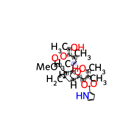 C=C1C[C@@H]2C[C@]3(O[C@H]2[C@H](OC(=O)c2ccc[nH]2)[C@H](C)[C@H](C)O)/C(C)=C/[C@@H](C)[C@@H]([C@@H](C)O)OC(=O)[C@@H](OC)C[C@@H]13